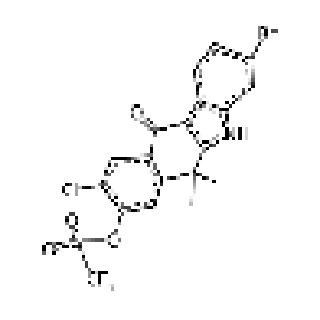 CC1(C)c2cc(OS(=O)(=O)C(F)(F)F)c(Cl)cc2C(=O)c2c1[nH]c1cc(Br)ccc21